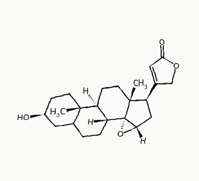 C[C@]12CC[C@H](O)CC1CC[C@@H]1[C@@H]2CC[C@]2(C)[C@@H](C3=CC(=O)OC3)C[C@@H]3O[C@]312